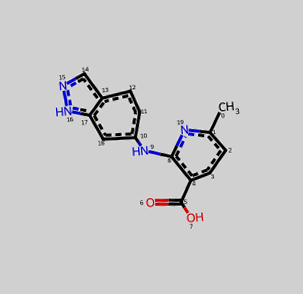 Cc1ccc(C(=O)O)c(Nc2ccc3cn[nH]c3c2)n1